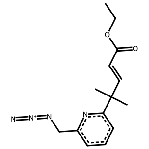 CCOC(=O)/C=C/C(C)(C)c1cccc(CN=[N+]=[N-])n1